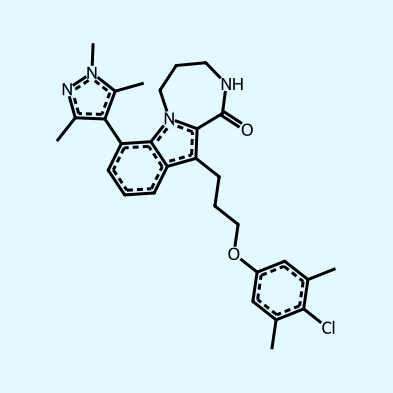 Cc1cc(OCCCc2c3n(c4c(-c5c(C)nn(C)c5C)cccc24)CCCNC3=O)cc(C)c1Cl